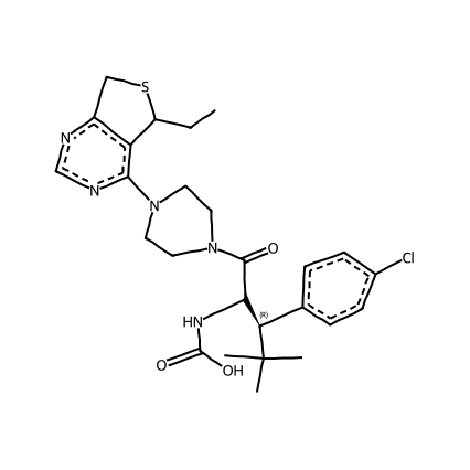 CCC1SCc2ncnc(N3CCN(C(=O)C(NC(=O)O)[C@@H](c4ccc(Cl)cc4)C(C)(C)C)CC3)c21